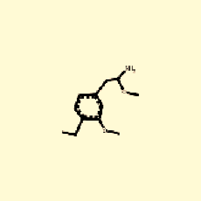 CCc1ccc(CC(N)OC)cc1OC